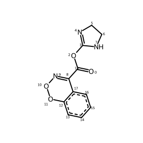 O=C(OC1=NCCN1)C1=NOOc2ccccc21